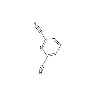 N#Cc1c[c]cc(C#N)n1